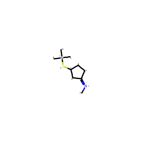 CN=C1CCC(S[Si](C)(C)C)C1